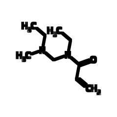 C=CC(=O)N(CC)CN(C)CC